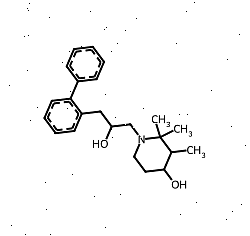 CC1C(O)CCN(CC(O)Cc2ccccc2-c2ccccc2)C1(C)C